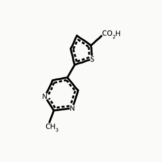 Cc1ncc(-c2ccc(C(=O)O)s2)cn1